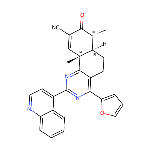 C[C@H]1C(=O)C(C#N)=C[C@@]2(C)c3nc(-c4ccnc5ccccc45)nc(-c4ccco4)c3CC[C@H]12